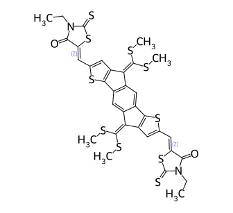 CCN1C(=O)/C(=C/c2cc3c(s2)-c2cc4c(cc2C3=C(SC)SC)-c2sc(/C=C3\SC(=S)N(CC)C3=O)cc2C4=C(SC)SC)SC1=S